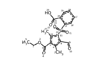 CCOC(=O)c1c(C)c(C=O)n(S(=O)(=O)c2ccccc2C(=O)O)c1C